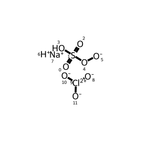 O=S(=O)(O)O[O-].[H+].[Na+].[O-][Cl+2]([O-])[O-]